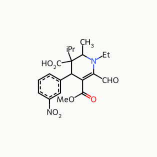 CCN1C(C=O)=C(C(=O)OC)C(c2cccc([N+](=O)[O-])c2)C(C(=O)O)(C(C)C)C1C